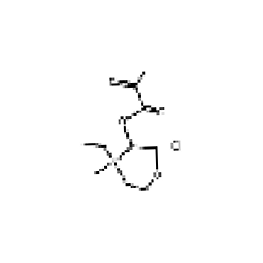 C=C(C)C(=O)OC1COCC[N+]1(C)CC.[Cl-]